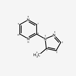 Cc1[c]cnn1-c1cnccn1